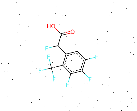 O=C(O)C(F)c1cc(F)c(F)c(F)c1C(F)(F)F